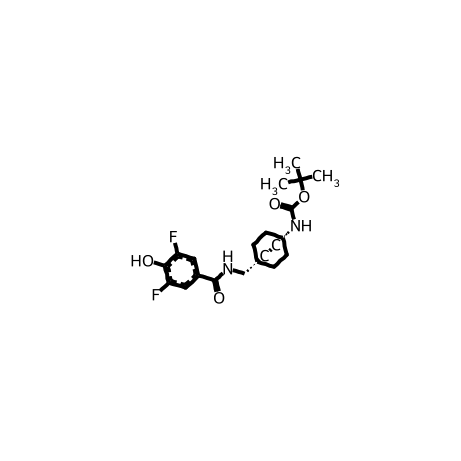 CC(C)(C)OC(=O)N[C@]12CC[C@](CNC(=O)c3cc(F)c(O)c(F)c3)(CC1)CC2